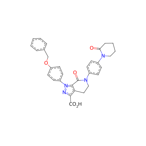 O=C(O)c1nn(-c2ccc(OCc3ccccc3)cc2)c2c1CCN(c1ccc(N3CCCCC3=O)cc1)C2=O